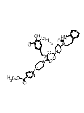 CCOC(=O)c1ccc(N2CCN(C(=O)[C@@H](Cc3cc(C)c(O)c(Cl)c3)OC(=O)N3CCC(N4CCc5ccccc5NC4=O)CC3)CC2)nc1